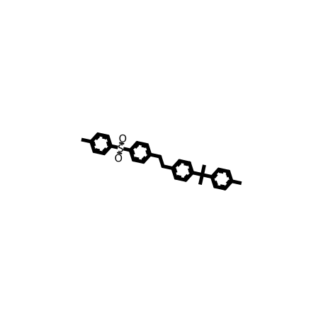 Cc1ccc(C(C)(C)c2ccc(CCc3ccc(S(=O)(=O)c4ccc(C)cc4)cc3)cc2)cc1